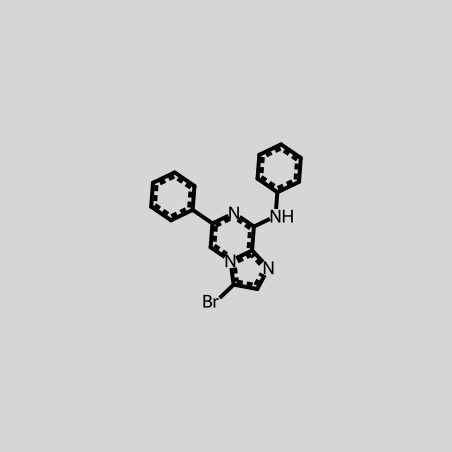 Brc1cnc2c(Nc3ccccc3)nc(-c3ccccc3)cn12